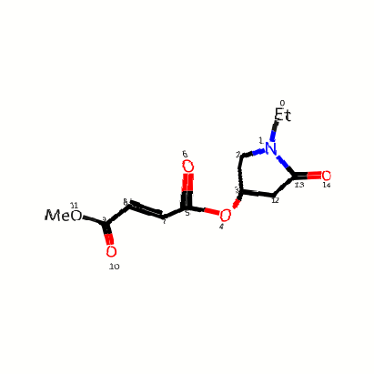 CCN1CC(OC(=O)/C=C/C(=O)OC)CC1=O